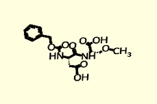 COC[C@H](NC(=O)[C@H](CC(=O)O)NC(=O)OCc1ccccc1)C(=O)O